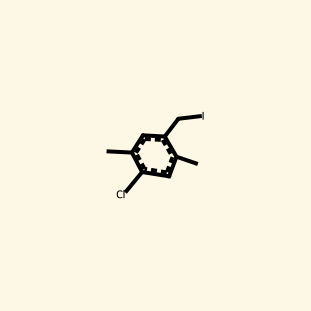 Cc1cc(CI)c(C)cc1Cl